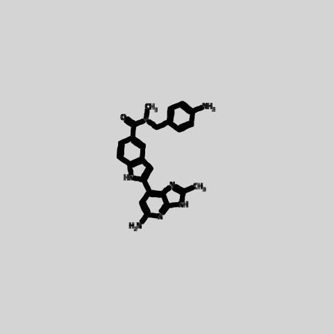 Cc1nc2c(-c3cc4cc(C(=O)N(C)Cc5ccc(N)cc5)ccc4[nH]3)cc(N)nc2[nH]1